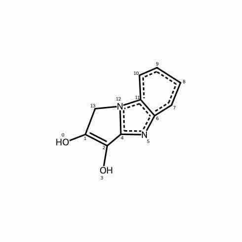 OC1=C(O)c2nc3ccccc3n2C1